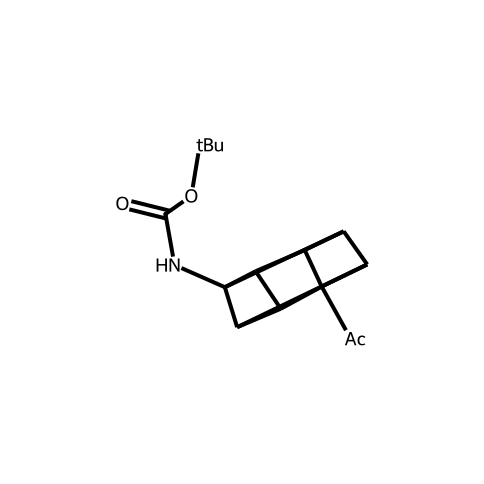 CC(=O)C12C3C4C1C1C2C3C41NC(=O)OC(C)(C)C